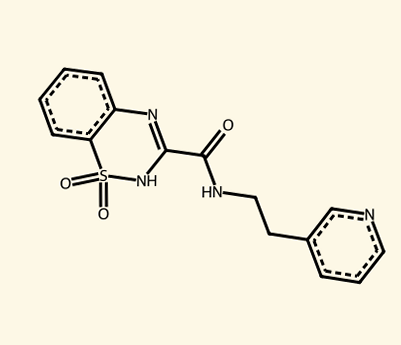 O=C(NCCc1cccnc1)C1=Nc2ccccc2S(=O)(=O)N1